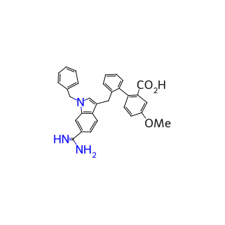 COc1ccc(-c2ccccc2Cc2cn(Cc3ccccc3)c3cc(C(=N)N)ccc23)c(C(=O)O)c1